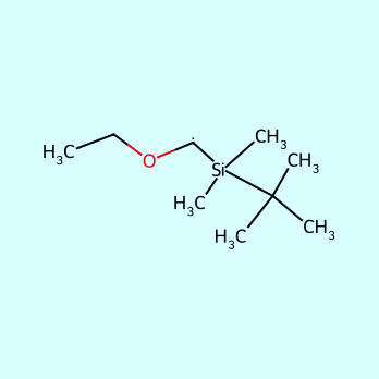 CCO[CH][Si](C)(C)C(C)(C)C